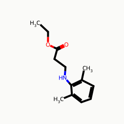 CCOC(=O)CCNc1c(C)cccc1C